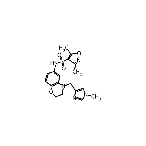 Cc1noc(C)c1S(=O)(=O)Nc1ccc2c(c1)N(Cc1cn(C)cn1)CCO2